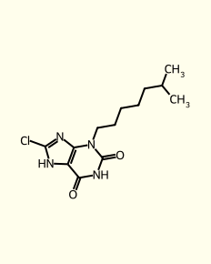 CC(C)CCCCCn1c(=O)[nH]c(=O)c2[nH]c(Cl)nc21